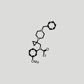 CCC(=O)N(CC1(N2CCN(Cc3ccccc3)CC2)CC1)c1cccc(OC)c1